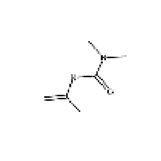 C=C(C)[N]C(=O)N(C)C